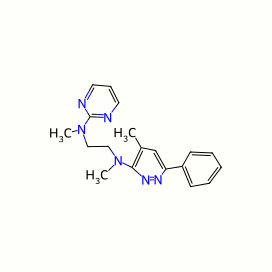 Cc1cc(-c2ccccc2)nnc1N(C)CCN(C)c1ncccn1